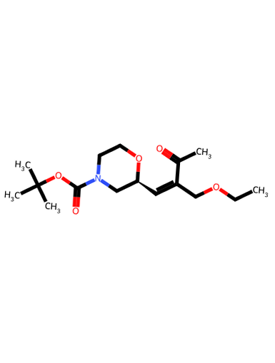 CCOC/C(=C/[C@H]1CN(C(=O)OC(C)(C)C)CCO1)C(C)=O